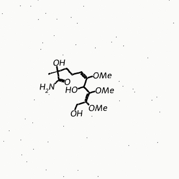 COC(=CCC[C@@](C)(O)C(N)=O)C(O)C(OC)=C(CO)OC